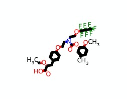 CCOC(Cc1ccc(OCCN(CCOC(F)(F)C(F)(F)C(F)(F)F)C(=O)Oc2cc(C)ccc2OC)cc1)C(=O)O